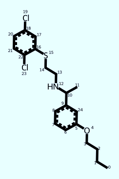 CCCCOc1cccc(C(C)NCCSc2cc(Cl)ccc2Cl)c1